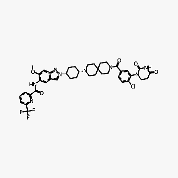 COc1cc2nn([C@H]3CC[C@@H](N4CCC5(CCN(C(=O)c6ccc(Cl)c(N7CCC(=O)NC7=O)c6)CC5)CC4)CC3)cc2cc1NC(=O)c1cccc(C(F)(F)F)n1